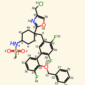 CS(=O)(=O)NC1CCC(Cc2cc(-c3cccc(F)c3OCc3ccccc3)c(F)cc2F)(c2nc(CCl)co2)CC1